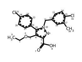 CCOCc1c(C(=O)O)nn(Cc2ccc(Cl)c(C)c2)c1-c1ccc(Cl)cc1